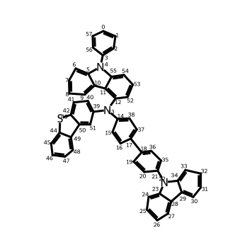 c1ccc(-n2c3ccccc3c3c(N(c4ccc(-c5ccc(-n6c7ccccc7c7ccccc76)cc5)cc4)c4ccc5sc6ccccc6c5c4)cccc32)cc1